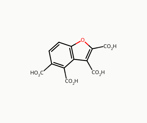 O=C(O)c1ccc2oc(C(=O)O)c(C(=O)O)c2c1C(=O)O